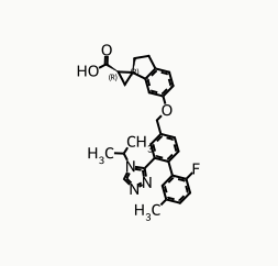 Cc1ccc(F)c(-c2ccc(COc3ccc4c(c3)[C@]3(CC4)C[C@H]3C(=O)O)cc2-c2nncn2C(C)C)c1